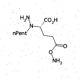 CCCCCN(N)[C@@H](CCC(=O)ON)C(=O)O